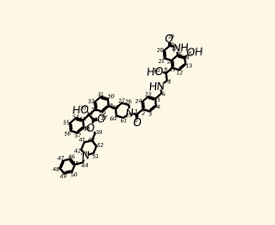 O=C(c1ccc(CNCC(O)c2ccc(O)c3[nH]c(=O)ccc23)cc1)N1CCC(c2cccc(C(O)(C(=O)OCC3CCN(Cc4ccccc4)CC3)c3ccccc3)c2)CC1